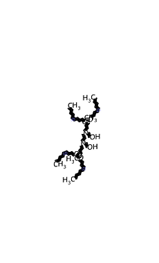 CCCCC/C=C\CCCO[Si](C)(CCCCN(CCO)CCCN(CCO)CCCC[Si](C)(OCCC/C=C\CCCCC)OCCC/C=C\CCCCC)OCCC/C=C\CCCCC